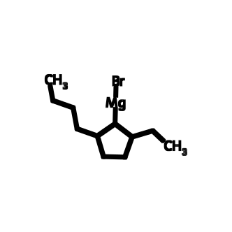 CCCCC1CCC(CC)[CH]1[Mg][Br]